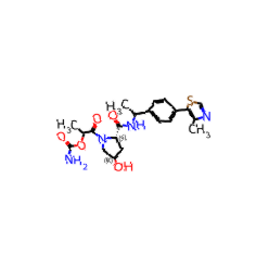 Cc1ncsc1-c1ccc(C(C)NC(=O)[C@@H]2C[C@@H](O)CN2C(=O)C(C)OC(N)=O)cc1